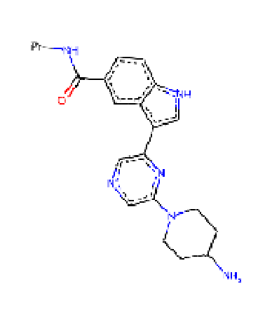 CC(C)NC(=O)c1ccc2[nH]cc(-c3cncc(N4CCC(N)CC4)n3)c2c1